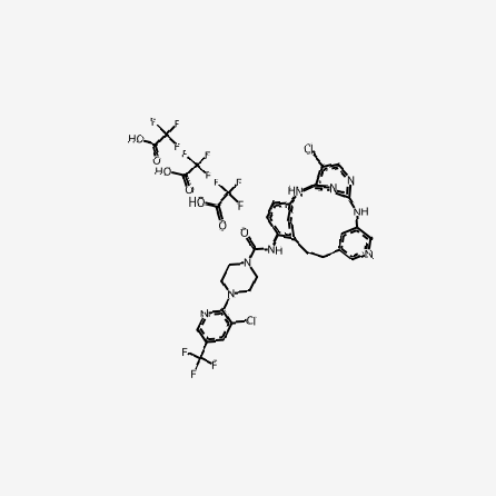 O=C(Nc1ccc2cc1CCc1cncc(c1)Nc1ncc(Cl)c(n1)N2)N1CCN(c2ncc(C(F)(F)F)cc2Cl)CC1.O=C(O)C(F)(F)F.O=C(O)C(F)(F)F.O=C(O)C(F)(F)F